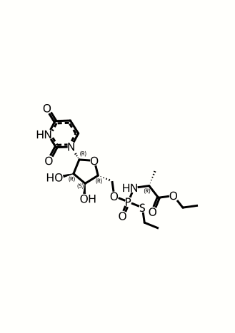 CCOC(=O)[C@@H](C)NP(=O)(OC[C@H]1O[C@@H](n2ccc(=O)[nH]c2=O)[C@H](O)[C@@H]1O)SCC